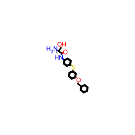 C[C@](N)(CO)C(=O)Nc1ccc(Sc2cccc(OCc3ccccc3)c2)cc1